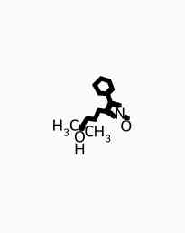 CC(C)(O)CCCc1cn(C=O)cc1C1=CCCCC1